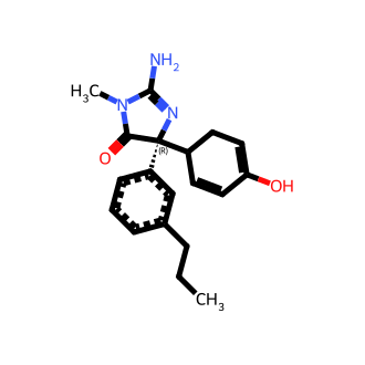 CCCc1cccc([C@@]2(C3C=CC(O)=CC3)N=C(N)N(C)C2=O)c1